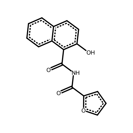 O=C(NC(=O)c1c(O)ccc2ccccc12)c1ccco1